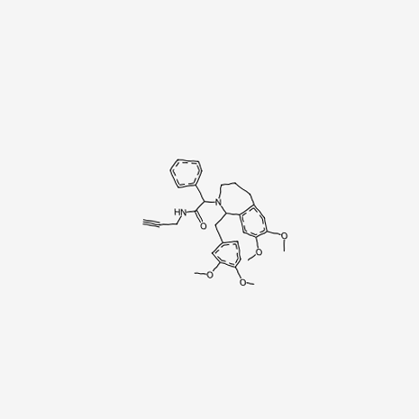 C#CCNC(=O)C(c1ccccc1)N1CCCc2cc(OC)c(OC)cc2C1Cc1ccc(OC)c(OC)c1